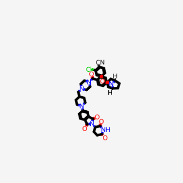 N#Cc1ccc(O[C@H]2C[C@H]3CC[C@@H](C2)N3c2ccc(C(=O)N3CCN(CC4CCN(c5ccc6c(c5)C(=O)N(C5CCC(=O)NC5=O)C6=O)CC4)CC3)cc2)cc1Cl